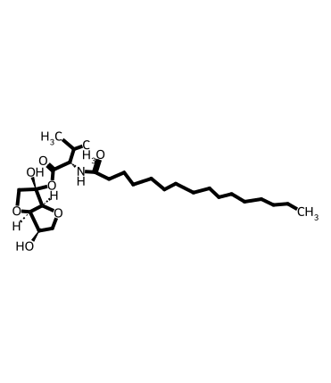 CCCCCCCCCCCCCCCC(=O)N[C@H](C(=O)O[C@@]1(O)CO[C@@H]2[C@H](O)CO[C@@H]21)C(C)C